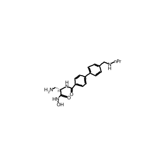 CCCNCc1ccc(-c2ccc(C(=O)N[C@@H](CN)C(=O)NO)cc2)cc1